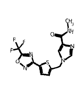 CNC(=O)c1cn(Cc2ccc(-c3noc(C(F)(F)F)n3)s2)cn1